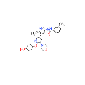 Cc1ncc(NC(=O)c2cccc(C(F)(F)F)c2)cc1-c1cnc(OC2CCC(O)CC2)c(N2CCOCC2)c1